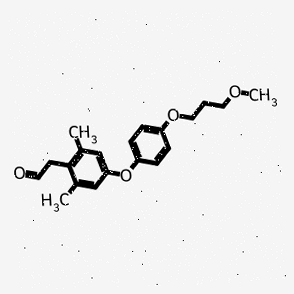 COCCCOc1ccc(Oc2cc(C)c(CC=O)c(C)c2)cc1